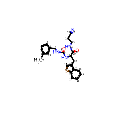 Cc1cccc(CNC(=O)NC(Cc2csc3ccccc23)C(=O)NCCC#N)c1